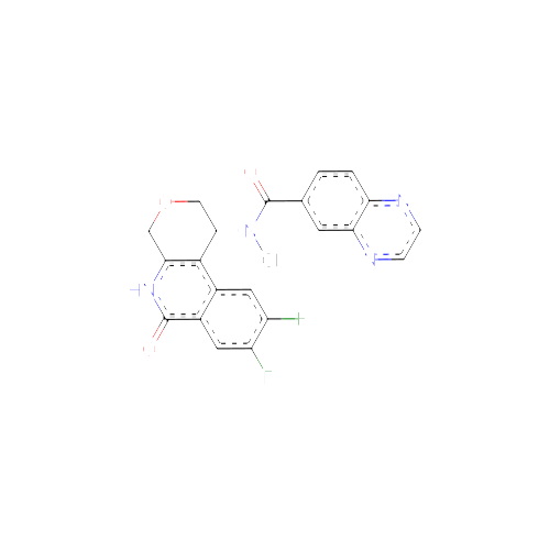 CN(C(=O)c1ccc2nccnc2c1)[C@H]1COCc2[nH]c(=O)c3cc(F)c(F)cc3c21